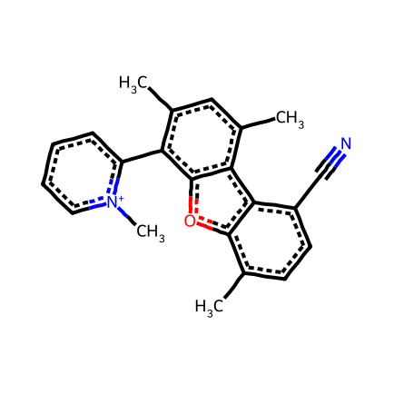 Cc1cc(C)c2c(oc3c(C)ccc(C#N)c32)c1-c1cccc[n+]1C